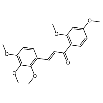 COc1ccc(C(=O)/C=C/c2ccc(OC)c(OC)c2OC)c(OC)c1